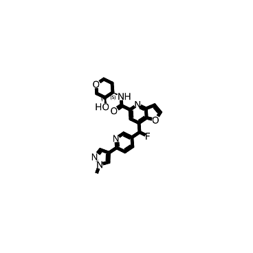 Cn1cc(-c2ccc(C(F)c3cc(C(=O)N[C@H]4CCOC[C@@H]4O)nc4ccoc34)cn2)cn1